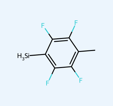 Cc1c(F)c(F)c([SiH3])c(F)c1F